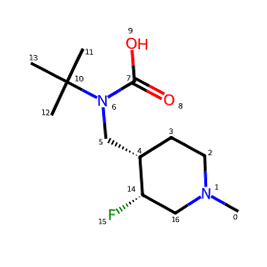 CN1CC[C@@H](CN(C(=O)O)C(C)(C)C)[C@@H](F)C1